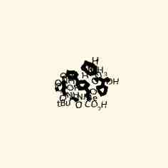 CN1[C@@H]2CC[C@H]1C[C@@H](OC(=O)C(CO)c1ccccc1)C2.CNC(=O)[C@@H](NC(=O)[C@H](CC(C)C)[C@H](O)C(=O)NO)C(C)(C)C.O=C(O)CCC(=O)c1ccc(-c2ccccc2)cc1